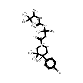 CC(NC(=O)NC(C)(C)CC(=O)N1CC[C@](O)(c2ccc(Cl)cc2)C(C)(C)C1)C(C)(C)O